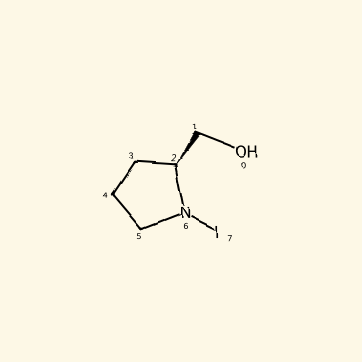 OC[C@@H]1CCCN1I